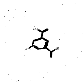 C=C(O)c1cc(O)cc(C(=C)O)c1